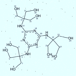 OCC(CO)(CO)Nc1nc(NC(CO)(CO)CO)nc(NC(CO)(CO)CO)n1